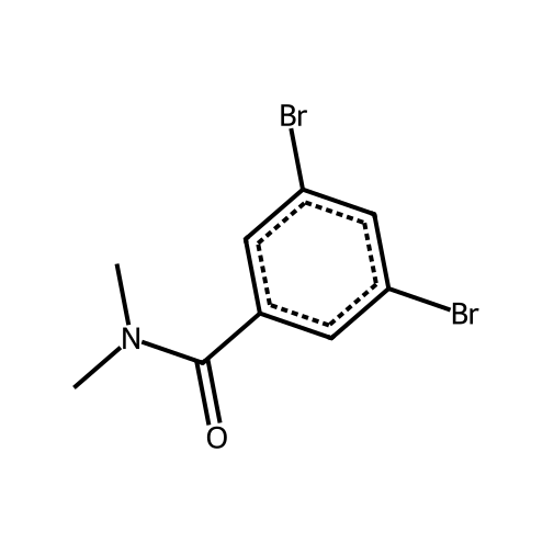 CN(C)C(=O)c1cc(Br)cc(Br)c1